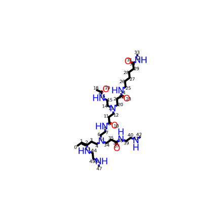 CC=C(CCN(CCNC(=O)CCN(CCNC(C)=O)CCC(=O)NCCCCCC(=O)NC)CCC(=O)NCCNC)NCCNC